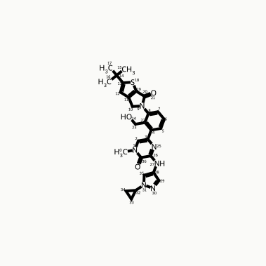 Cn1cc(-c2cccc(N3Cc4cc(C(C)(C)C)sc4C3=O)c2CO)nc(Nc2cnn(C3CC3)c2)c1=O